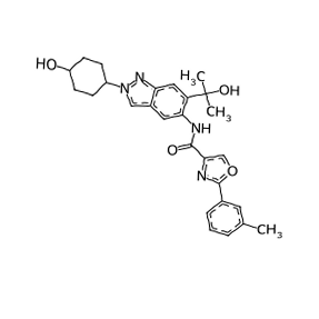 Cc1cccc(-c2nc(C(=O)Nc3cc4cn(C5CCC(O)CC5)nc4cc3C(C)(C)O)co2)c1